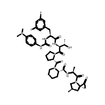 C[C@H]1CN(C(=O)[C@H](C)NC(=O)[C@@H]2CCCCN2C(=O)[C@@H]2CCCN2C(=O)[C@@H](NC(=O)[C@H](Cc2cc(F)cc(F)c2)NC(=O)Nc2ccc(N(C)C)cc2)[C@H](C)O)[C@]2(CC2=O)C1